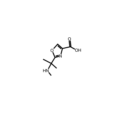 CNC(C)(C)c1nc(C(=O)O)co1